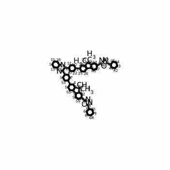 CC1(C)c2cc(-c3ccc(-c4nc5ccccc5nc4-c4ccc(-c5ccc6c(c5)C(C)(C)c5cc(-c7nnc(-c8ccccc8)o7)ccc5-6)cc4)cc3)ccc2-c2ccc(-c3nnc(-c4ccccc4)o3)cc21